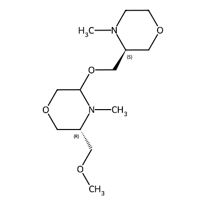 COC[C@@H]1COCC(OC[C@@H]2COCCN2C)N1C